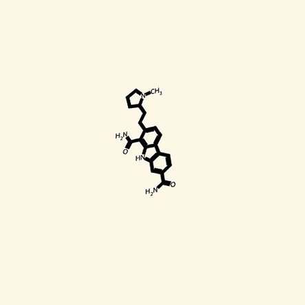 CN1CCCC1CCc1ccc2c([nH]c3cc(C(N)=O)ccc32)c1C(N)=O